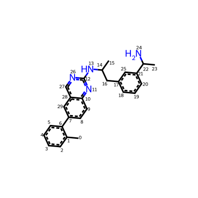 Cc1ccccc1-c1ccc2nc(NC(C)Cc3cccc(C(C)N)c3)ncc2c1